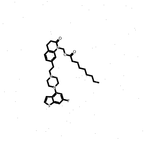 CCCCCCCCC(=O)OCN1C(=O)CCc2ccc(CCN3CCN(c4cc(F)cc5sccc45)CC3)cc21